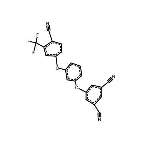 N#Cc1cc(C#N)cc(Oc2cccc(Oc3ccc(C#N)c(C(F)(F)F)c3)c2)c1